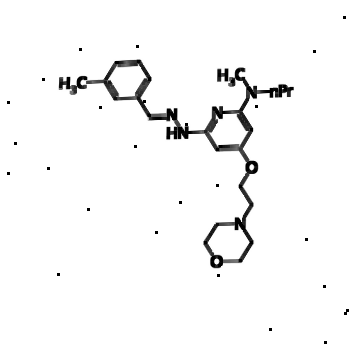 CCCN(C)c1cc(OCCN2CCOCC2)cc(N/N=C/c2cccc(C)c2)n1